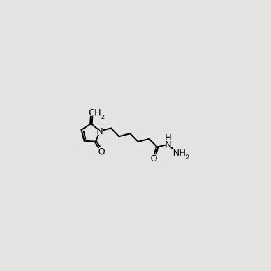 C=C1C=CC(=O)N1CCCCCC(=O)NN